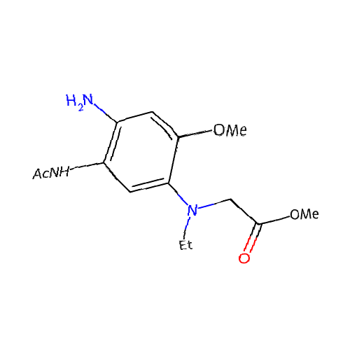 CCN(CC(=O)OC)c1cc(NC(C)=O)c(N)cc1OC